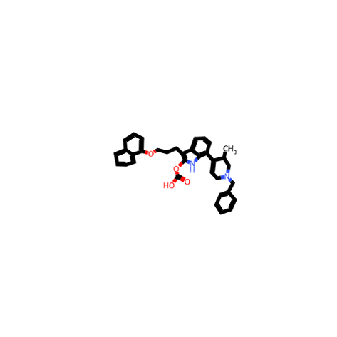 CC1CN(Cc2ccccc2)CC=C1c1cccc2c(CCCOc3cccc4ccccc34)c(OC(=O)O)[nH]c12